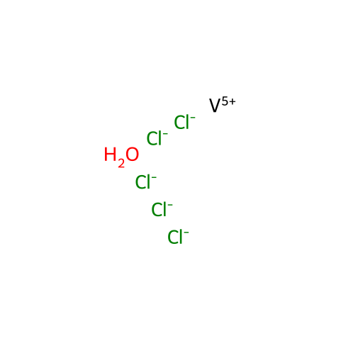 O.[Cl-].[Cl-].[Cl-].[Cl-].[Cl-].[V+5]